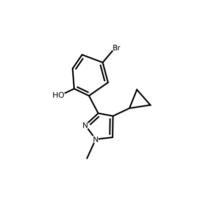 Cn1cc(C2CC2)c(-c2cc(Br)ccc2O)n1